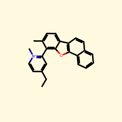 CCc1cc[n+](C)c(-c2c(C)ccc3c2oc2c4ccccc4ccc32)c1